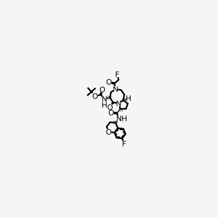 CC(C)(C)OC(=O)N[C@H]1CN(C(=O)CF)CC[C@H]2CC[C@@H](C(=O)N[C@@H]3CCOc4cc(F)ccc43)N2C1=O